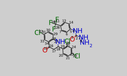 NNC(=O)Nc1ccc(C(F)(F)F)cc1.O=C1CC(c2ccc(Cl)cc2Cl)Nc2ccc(Cl)cc21